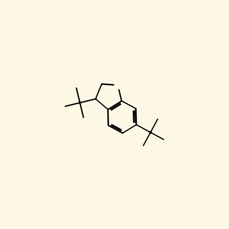 CC(C)(C)c1ccc2c(c1)OCC2C(C)(C)C